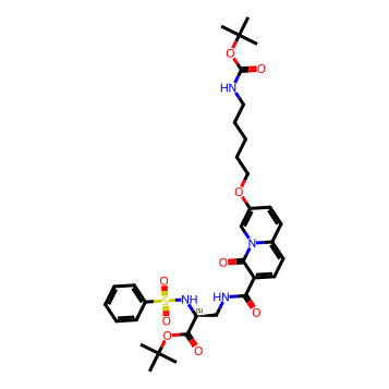 CC(C)(C)OC(=O)NCCCCCOc1ccc2ccc(C(=O)NC[C@H](NS(=O)(=O)c3ccccc3)C(=O)OC(C)(C)C)c(=O)n2c1